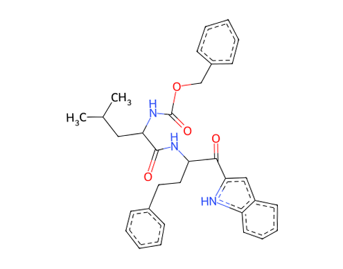 CC(C)CC(NC(=O)OCc1ccccc1)C(=O)NC(CCc1ccccc1)C(=O)c1cc2ccccc2[nH]1